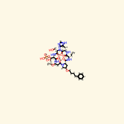 CC(C)C[C@H](NC(=O)[C@@H]1C[C@@H](OCCCCc2ccccc2)CN1C(=O)CCOC(C)C)C(=O)N[C@@H](Cc1cnc[nH]1)C(=O)N[C@@H](CO)C(=O)N[C@H](C(N)=O)[C@@H](C)OP(=O)(O)O